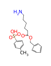 Cc1ccc(S(=O)(=O)O)cc1.NCCCCCC(=O)OCc1ccccc1